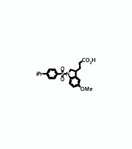 COc1ccc2c(c1)C(CCC(=O)O)CN2S(=O)(=O)c1ccc(C(C)C)cc1